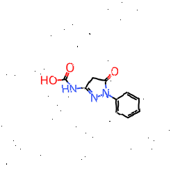 O=C(O)NC1=NN(c2ccccc2)C(=O)C1